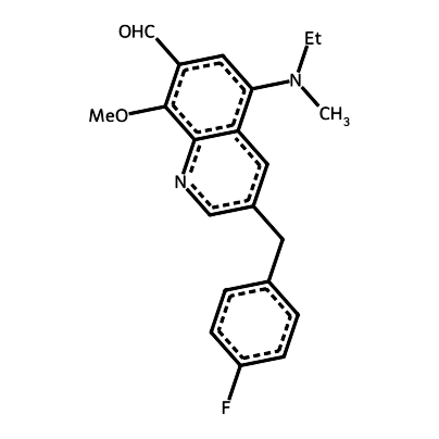 CCN(C)c1cc(C=O)c(OC)c2ncc(Cc3ccc(F)cc3)cc12